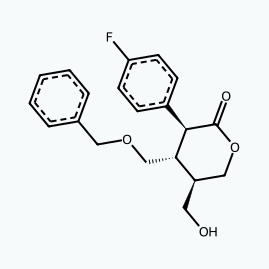 O=C1OC[C@@H](CO)[C@H](COCc2ccccc2)[C@H]1c1ccc(F)cc1